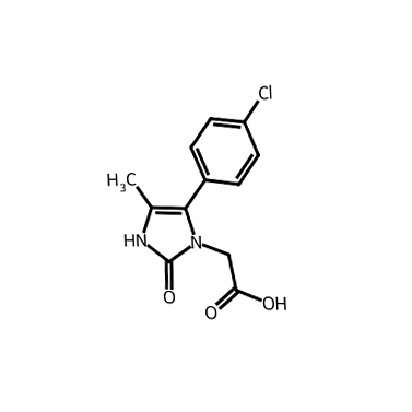 Cc1[nH]c(=O)n(CC(=O)O)c1-c1ccc(Cl)cc1